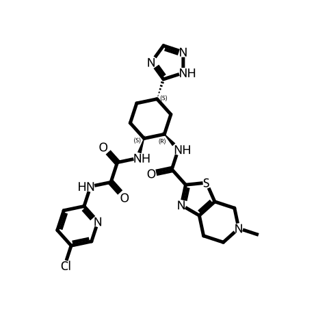 CN1CCc2nc(C(=O)N[C@@H]3C[C@@H](c4ncn[nH]4)CC[C@@H]3NC(=O)C(=O)Nc3ccc(Cl)cn3)sc2C1